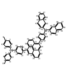 Cc1ccc(N(c2ccc(C)cc2)c2ccc(-c3cc4cccc5cc(-c6ccc(N(c7ccc8ccccc8c7)c7ccc8ccccc8c7)cc6)c6cccc3c6c54)nc2)cc1